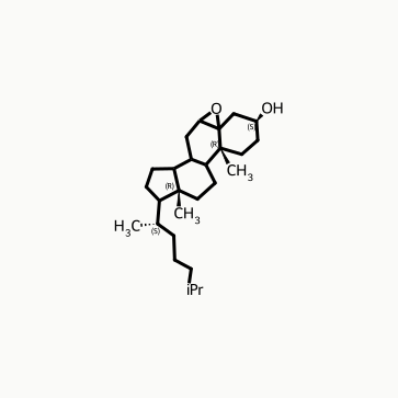 CC(C)CCC[C@H](C)C1CCC2C3CC4OC45C[C@@H](O)CC[C@]5(C)C3CC[C@@]21C